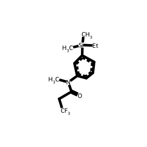 CC[Si](C)(C)c1cccc(N(C)C(=O)CC(F)(F)F)c1